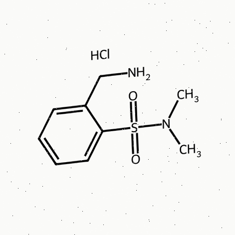 CN(C)S(=O)(=O)c1ccccc1CN.Cl